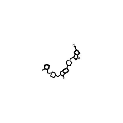 N#Cc1ccc2[nH]cc(CN3CCC(c4ccc5c(c4)CC(CC4CCN(Cc6ccccc6F)CC4)C5=O)CC3)c2c1